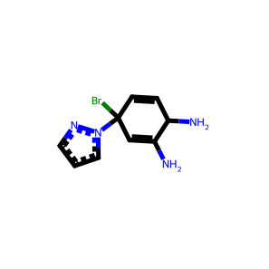 NC1=CC(Br)(n2cccn2)C=CC1N